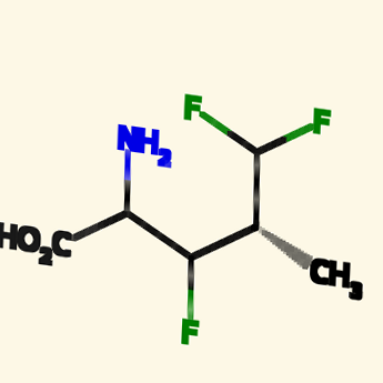 C[C@@H](C(F)F)C(F)C(N)C(=O)O